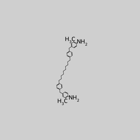 Cc1cc(Cc2ccc(CCCCCCCCCCc3ccc(Cc4ccc(N)c(C)c4)cc3)cc2)ccc1N